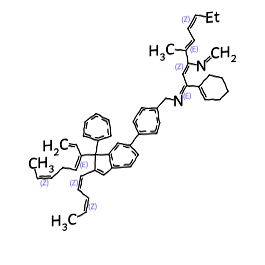 C=C/C(=C\C/C=C\C)C1(c2ccccc2)C(/C=C\C=C/C)=Cc2ccc(-c3ccc(C\N=C(/C=C(N=C)/C(C)=C/C=C\CC)C4=CCCCC4)cc3)cc21